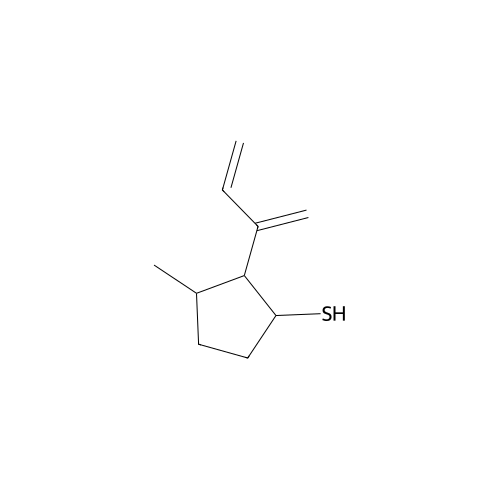 C=CC(=C)C1C(C)CCC1S